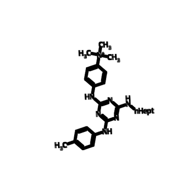 CCCCCCCNc1nc(Nc2ccc(C)cc2)nc(Nc2ccc([N+](C)(C)C)cc2)n1